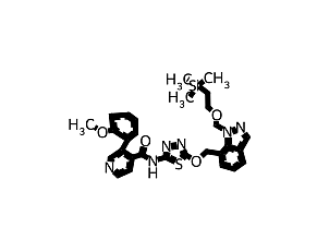 COc1ccccc1-c1cnccc1C(=O)Nc1nnc(OCc2cccc3cnn(COCC[Si](C)(C)C)c23)s1